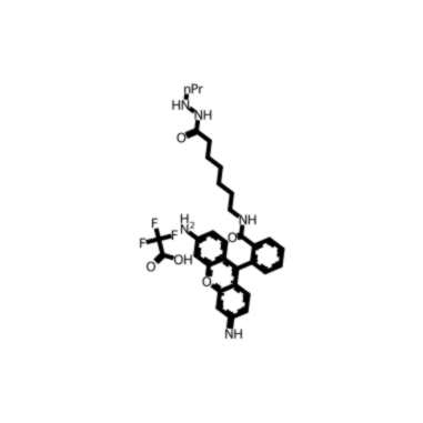 CCCNNC(=O)CCCCCCNC(=O)c1ccccc1-c1c2ccc(=N)cc-2oc2cc(N)ccc12.O=C(O)C(F)(F)F